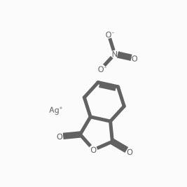 O=C1OC(=O)C2CC=CCC12.O=[N+]([O-])[O-].[Ag+]